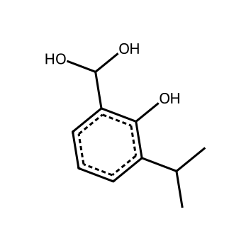 CC(C)c1cccc(C(O)O)c1O